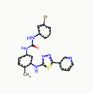 Cc1ccc(NC(=O)Nc2cccc(Br)c2)cc1Nc1nnc(-c2cccnc2)s1